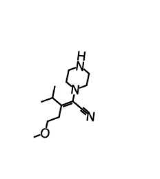 COCCC(=C(C#N)N1CCNCC1)C(C)C